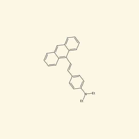 CCN(CC)c1ccc(C=Cc2c3ccccc3cc3ccccc23)cc1